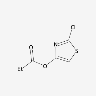 CCC(=O)Oc1csc(Cl)n1